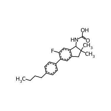 CCCCc1ccc(-c2cc3c(cc2F)C(NC(=O)O)C(C)(C)C3)cc1